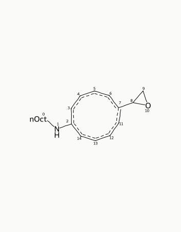 CCCCCCCCNc1ccccc(C2CO2)cccc1